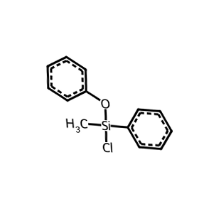 C[Si](Cl)(Oc1ccccc1)c1ccccc1